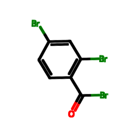 O=C(Br)c1ccc(Br)cc1Br